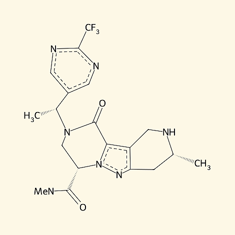 CNC(=O)[C@@H]1CN([C@H](C)c2cnc(C(F)(F)F)nc2)C(=O)c2c3c(nn21)C[C@@H](C)NC3